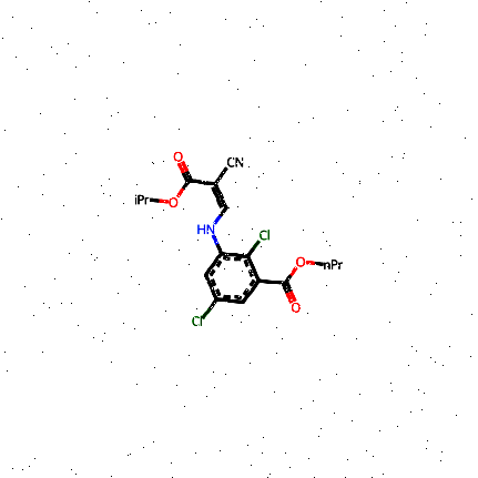 CCCOC(=O)c1cc(Cl)cc(NC=C(C#N)C(=O)OC(C)C)c1Cl